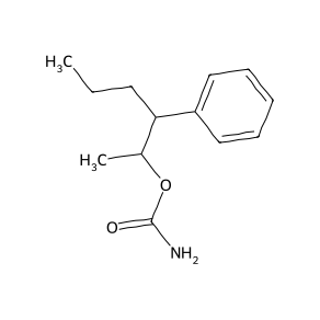 CCCC(c1ccccc1)C(C)OC(N)=O